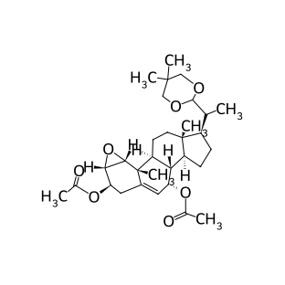 CC(=O)O[C@@H]1C=C2C[C@@H](OC(C)=O)[C@@H]3O[C@@H]3[C@]2(C)[C@H]2CC[C@]3(C)[C@@H](C(C)C4OCC(C)(C)CO4)CC[C@H]3[C@H]12